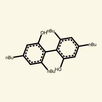 CCCCc1cc(O)c(-c2c(O)cc(CCCC)cc2CCCC)c(CCCC)c1